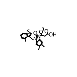 CCOC(CC(=O)O)n1c(=O)n(Cc2csc3cccc(C)c23)c2cc(C)c(C)cc21